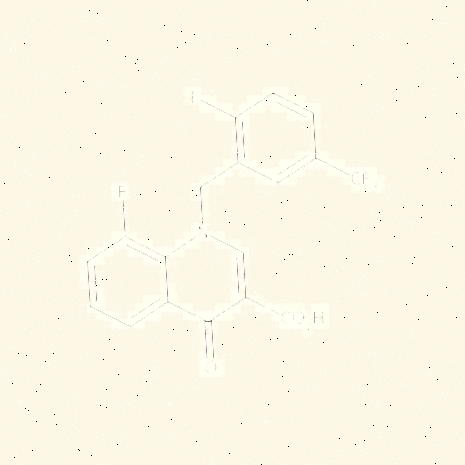 O=C(O)c1cn(Cc2cc(C(F)(F)F)ccc2F)c2c(F)cccc2c1=O